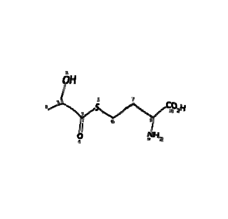 CC(O)C(=O)SCCC(N)C(=O)O